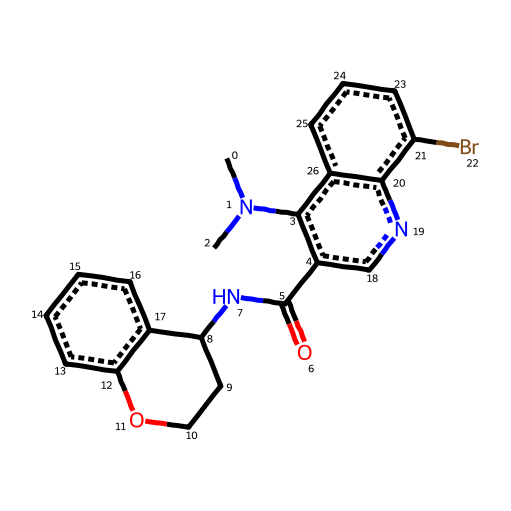 CN(C)c1c(C(=O)NC2CCOc3ccccc32)cnc2c(Br)cccc12